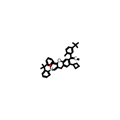 C=C=C(c1cc(C(C)(C)C)ccc1C)c1cc2c(cc1C1CCC1)CC(=C/N1c3ccccc3C(C)(C)c3ccccc31)/C(=C\C=C)O2